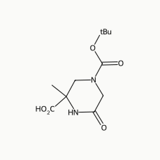 CC(C)(C)OC(=O)N1CC(=O)NC(C)(C(=O)O)C1